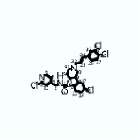 O=C(NCc1ccnc(Cl)c1)N1c2ccc(Cl)cc2C2CN(CC=Cc3ccc(Cl)c(Cl)c3)CCC21